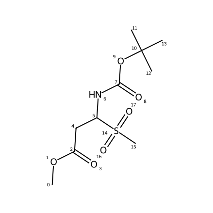 COC(=O)CC(NC(=O)OC(C)(C)C)S(C)(=O)=O